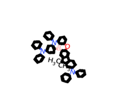 CC1(C)c2cc(N(c3ccccc3)c3ccccc3)ccc2-c2cc3c(cc21)B1c2ccc(N(c4ccccc4)c4ccccc4)cc2N(c2ccccc2)c2cccc(c21)O3